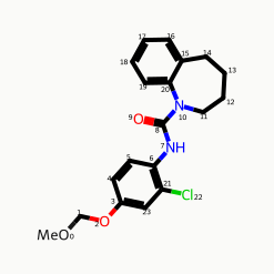 COCOc1ccc(NC(=O)N2CCCCc3ccccc32)c(Cl)c1